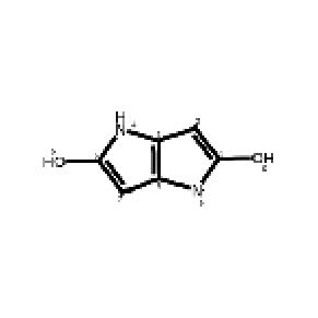 OC1=Cc2[nH]c(O)cc2[N]1